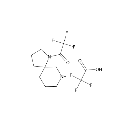 O=C(N1CCCC12CCCNC2)C(F)(F)F.O=C(O)C(F)(F)F